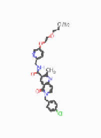 COCCOCCOc1ccc(CNC(=O)c2cc3c(=O)n(Cc4ccc(Cl)cc4)ccc3nc2C)nc1